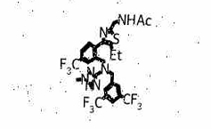 CCc1sc(CNC(C)=O)nc1-c1ccc(C(F)(F)F)cc1CN(Cc1cc(C(F)(F)F)cc(C(F)(F)F)c1)c1nnn(C)n1